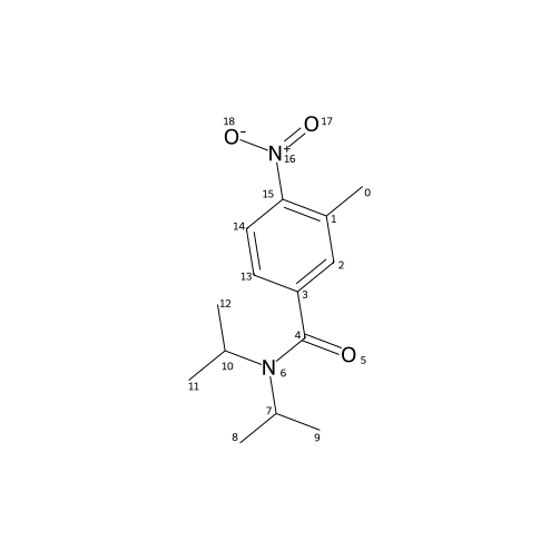 Cc1cc(C(=O)N(C(C)C)C(C)C)ccc1[N+](=O)[O-]